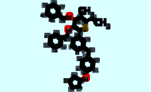 CC[C@H]1S[C@@H](c2cccc(Cc3ccc(OC4CCCC4)cc3)c2)[C@H](OCc2ccccc2)[C@@H](OCc2ccccc2)[C@@H]1C